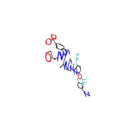 COC(=O)c1ccc2nc(C(C)N3CCN(c4nc(OCc5ccc(C#N)cc5F)ccc4F)CC3)n(C[C@@H]3CCO3)c2c1